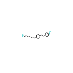 FC=CCCCCCC1CCC(CCc2ccc(F)cc2)CC1